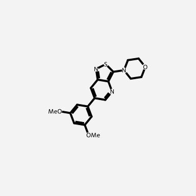 COc1cc(OC)cc(-c2cnc3c(N4CCOCC4)snc3c2)c1